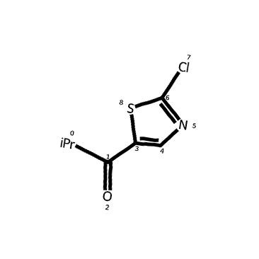 CC(C)C(=O)c1cnc(Cl)s1